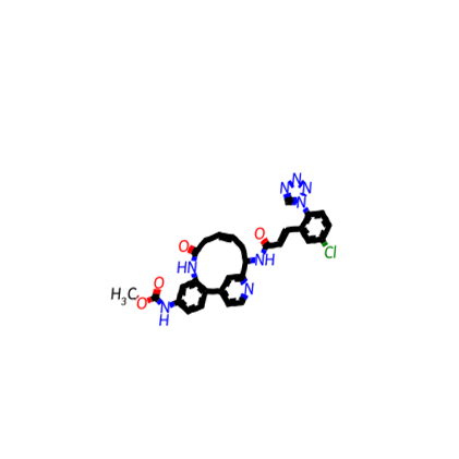 COC(=O)Nc1ccc2c(c1)NC(=O)CC=CCC(NC(=O)C=Cc1cc(Cl)ccc1-n1cnnn1)c1cc-2ccn1